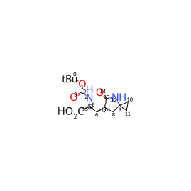 CC(C)(C)OC(=O)N[C@@H](C[C@@H]1CC2(CC2)NC1=O)C(=O)O